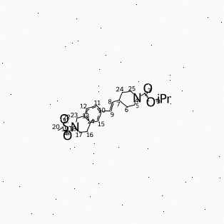 CC(C)OC(=O)N1CCC(/C=C/c2ccc3c(c2)CCN(S(C)(=O)=O)C3)CC1